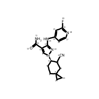 N#CC1CC2(CC[C@H]1n1cc(C(N)=O)c(Nc3ccnc(F)c3)n1)CC2